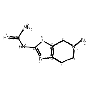 CC(=O)N1CCc2nc(NC(=N)N)sc2C1